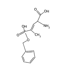 C/C(=C\C(N)C(=O)O)P(=O)(O)OCc1ccccc1